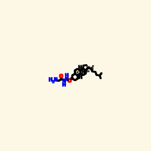 CC(C)CCC[C@@H](C)[C@H]1CC[C@H]2[C@@H]3CC=C4C[C@@H](ONNC(=O)CN)CC[C@]4(C)[C@H]3CC[C@]12C